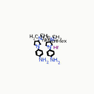 CCCCCCC[N+](C)(C)C1CCN(c2ccc(N)cc2)C1.CCCCCC[N+](C)(C)C1CCN(c2ccc(N)cc2)C1.I